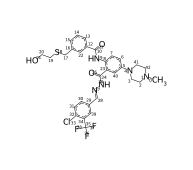 CN1CCN(c2ccc(NC(=O)c3cccc(CSCCO)c3)c(C(=O)NN=Cc3ccc(Cl)c(C(F)(F)F)c3)c2)CC1